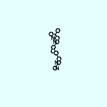 c1ccc(-c2c3ccccc3nc3c2ccc2ccc(-c4ccc5ccc6cc(-c7ccc8ccc(-c9ccccn9)nc8c7)ccc6c5c4)nc23)cc1